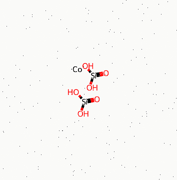 O=[Si](O)O.O=[Si](O)O.[Co]